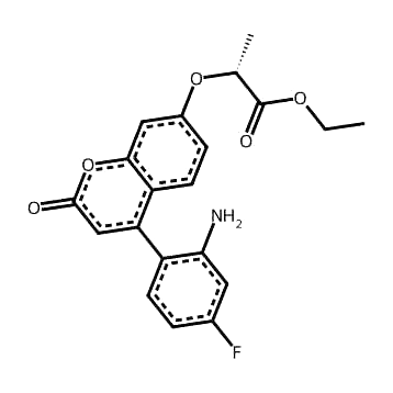 CCOC(=O)[C@@H](C)Oc1ccc2c(-c3ccc(F)cc3N)cc(=O)oc2c1